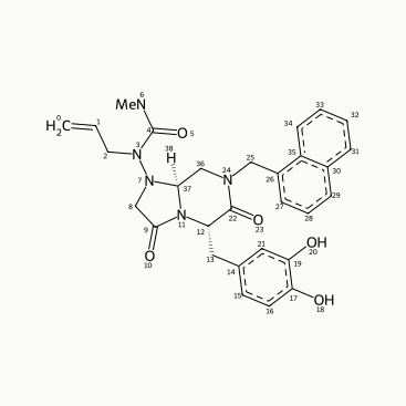 C=CCN(C(=O)NC)N1CC(=O)N2[C@@H](Cc3ccc(O)c(O)c3)C(=O)N(Cc3cccc4ccccc34)C[C@@H]21